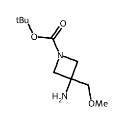 COCC1(N)CN(C(=O)OC(C)(C)C)C1